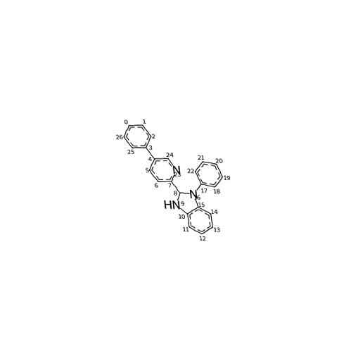 c1ccc(-c2ccc(C3Nc4ccccc4N3c3ccccc3)nc2)cc1